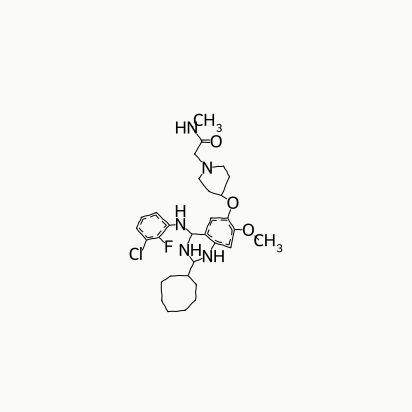 CNC(=O)CN1CCC(Oc2cc3c(cc2OC)NC(C2CCCCCCC2)NC3Nc2cccc(Cl)c2F)CC1